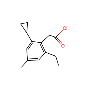 CCc1cc(C)cc(C2CC2)c1CC(=O)O